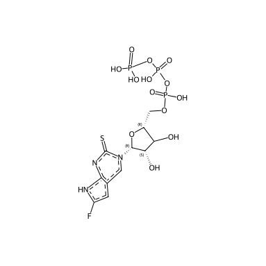 O=P(O)(O)OP(=O)(O)OP(=O)(O)OC[C@H]1O[C@@H](n2cc3cc(F)[nH]c3nc2=S)[C@@H](O)C1O